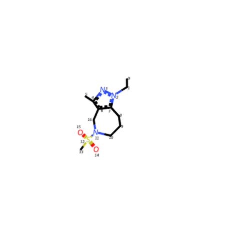 CCn1nc(C)c2c1CCCN(S(C)(=O)=O)C2